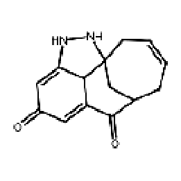 O=C1C=C2NNC34CC=CCC(C3)C(=O)C(=C1)C24